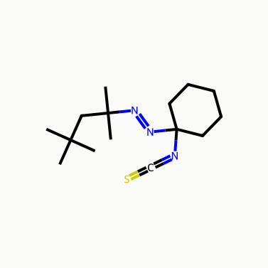 CC(C)(C)CC(C)(C)N=NC1(N=C=S)CCCCC1